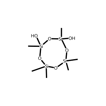 C[Si]1(C)O[Si](C)(C)O[Si](C)(O)O[Si](C)(O)O1